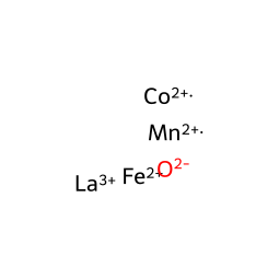 [Co+2].[Fe+2].[La+3].[Mn+2].[O-2]